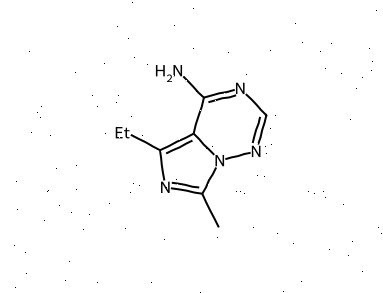 CCc1nc(C)n2ncnc(N)c12